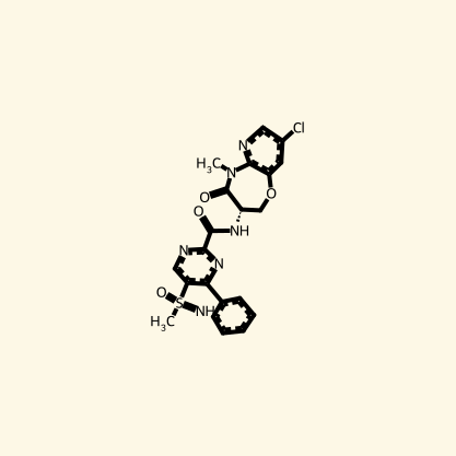 CN1C(=O)[C@@H](NC(=O)c2ncc(S(C)(=N)=O)c(-c3ccccc3)n2)COc2cc(Cl)cnc21